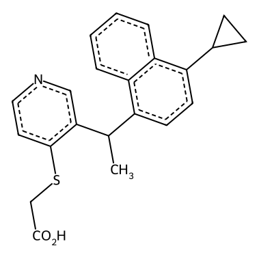 CC(c1cnccc1SCC(=O)O)c1ccc(C2CC2)c2ccccc12